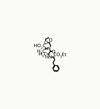 CCOC(=O)[C@H](CCc1ccccc1)NC(C)C(=O)N(CC1OCCO1)[C@@H](C)C(=O)O